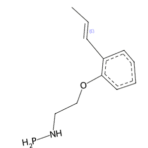 C/C=C/c1ccccc1OCCNP